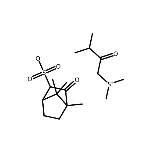 CC(C)C(=O)C[S+](C)C.CC12CCC(C(S(=O)(=O)[O-])C1=O)C2(C)C